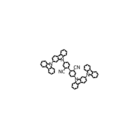 N#Cc1cc(-n2c3ccccc3c3ccc(-n4c5ccccc5c5ccccc54)cc32)ccc1-c1ccc(-n2c3ccccc3c3ccc(-n4c5ccccc5c5ccccc54)cc32)cc1C#N